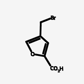 O=C(O)c1cc(CBr)co1